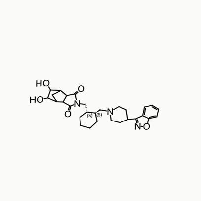 O=C1C2C3CC(C(O)C3O)C2C(=O)N1C[C@H]1CCCC[C@@H]1CN1CCC(c2noc3ccccc23)CC1